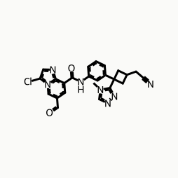 Cn1cnnc1C1(c2cccc(NC(=O)c3cc(C=O)cn4c(Cl)cnc34)c2)CC(CC#N)C1